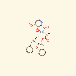 CC[C@H](Cc1ccccc1)[C@@H](Oc1ccccc1)[C@H](C)OC(=O)[C@H](C)NC(=O)c1nccc(OC)c1O